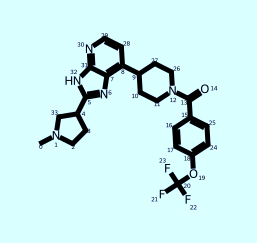 CN1CCC(c2nc3c(C4CCN(C(=O)c5ccc(OC(F)(F)F)cc5)CC4)ccnc3[nH]2)C1